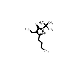 CCCCc1[nH]n(C(C)(C)C)c(=O)c1CC